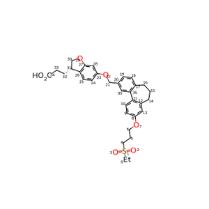 CCS(=O)(=O)CCCOc1ccc2c(c1)CCCc1ccc(COc3ccc4c(c3)OC[C@H]4CCC(=O)O)cc1-2